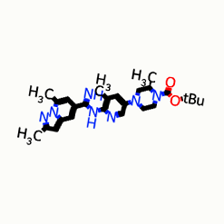 Cc1cc2cc(C(=N)Nc3ncc(N4CCN(C(=O)OC(C)(C)C)[C@@H](C)C4)cc3C)cc(C)n2n1